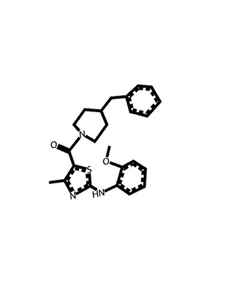 COc1ccccc1Nc1nc(C)c(C(=O)N2CCC(Cc3ccccc3)CC2)s1